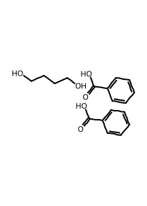 O=C(O)c1ccccc1.O=C(O)c1ccccc1.OCCCCO